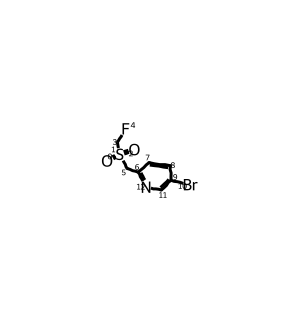 O=S(=O)(CF)Cc1ccc(Br)cn1